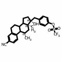 C[C@H]1C[C@@]2(C)C(CC[C@@]2(O)Cc2ccc(OS(=O)(=O)C(F)(F)F)cc2)C2CCc3cc(C#N)ccc3C21